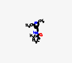 C/C=C(\C)C(=O)NCc1cc(C)nc(C)c1